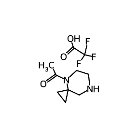 CC(=O)N1CCNCC12CC2.O=C(O)C(F)(F)F